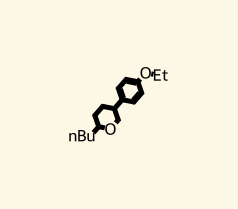 CCCCC1CCC(c2ccc(OCC)cc2)CO1